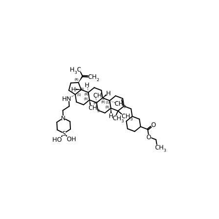 C=C(C)[C@@H]1CC[C@]2(NCCN3CCS(O)(O)CC3)CC[C@]3(C)[C@H](CC[C@@H]4[C@@]5(C)CC=C(CC6CCCC(C(=O)OCC)C6)C(C)(C)[C@@H]5CC[C@]43C)[C@@H]12